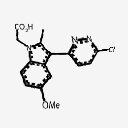 COc1ccc2c(c1)c(-c1ccc(Cl)nn1)c(C)n2CC(=O)O